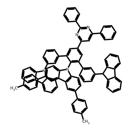 Cc1ccc(-c2ccc3c(c2)c2cc(-c4ccc(C)cc4)ccc2n3-c2c(-c3cccc(C4c5ccccc5-c5ccccc54)c3)cc(-c3cc(-c4ccccc4)nc(-c4ccccc4)n3)cc2-c2cccc(-n3c4ccccc4c4ccccc43)c2)cc1